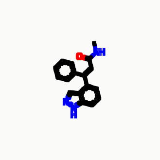 CNC(=O)C=C(c1ccccc1)c1cccc2[nH]ncc12